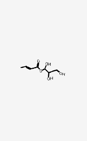 CC=CC(=O)OC(O)C(O)CO